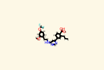 CCCc1cc(-c2cc(NCCc3ccc(OC(F)F)cc3OC)ncn2)ccc1C(=O)O